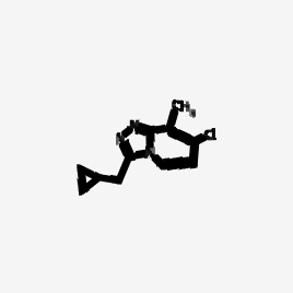 Cc1c(Cl)ccn2c(CC3CC3)nnc12